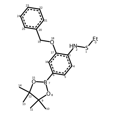 CCSNc1ccc(B2OC(C)(C)C(C)(C)O2)cc1OCc1ccccc1